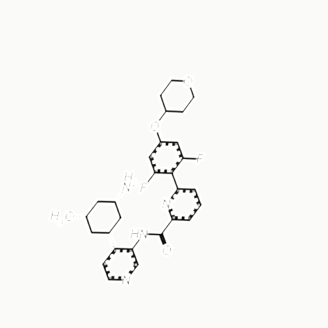 C[C@@H]1C[C@H](N)C[C@H](c2ccncc2NC(=O)c2cccc(-c3c(F)cc(OC4CCOCC4)cc3F)n2)C1